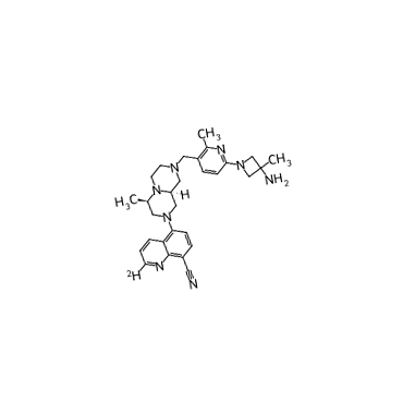 [2H]c1ccc2c(N3C[C@@H]4CN(Cc5ccc(N6CC(C)(N)C6)nc5C)CCN4[C@H](C)C3)ccc(C#N)c2n1